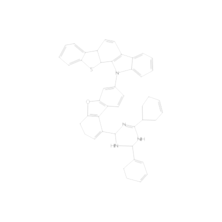 C1=CCCC(C2NC(C3CC=CCC3)=NC(C3=CCCc4oc5cc(-n6c7c(c8ccccc86)C=CC6c8ccccc8SC76)ccc5c43)N2)=C1